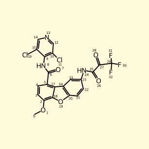 COc1ccc(C(=O)Nc2c(Cl)cncc2Cl)c2c1oc1ccc(NC(=O)C(=O)C(F)(F)F)cc12